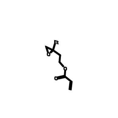 C=CC(=O)OCCC1(CC)CO1